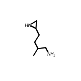 CC(CN)CCC1CN1